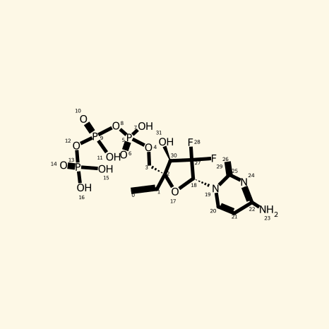 C=C[C@]1(COP(=O)(O)OP(=O)(O)OP(=O)(O)O)O[C@@H](N2C=CC(N)=NC2=C)C(F)(F)[C@@H]1O